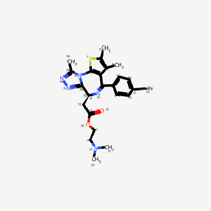 Cc1sc2c(c1C)C(c1ccc(C(C)C)cc1)=N[C@@H](CC(=O)OCCN(C)C)c1nnc(C)n1-2